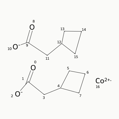 O=C([O-])CC1CCC1.O=C([O-])CC1CCC1.[Co+2]